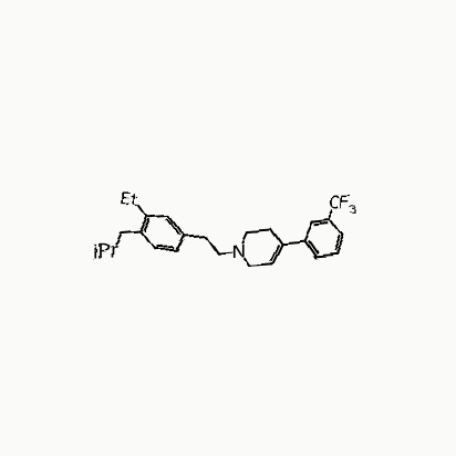 CCc1cc(CCN2CC=C(c3cccc(C(F)(F)F)c3)CC2)ccc1CC(C)C